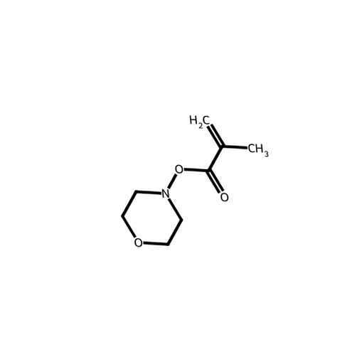 C=C(C)C(=O)ON1CCOCC1